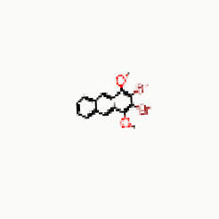 COc1c(Br)c(Br)c(OC)c2cc3ccccc3cc12